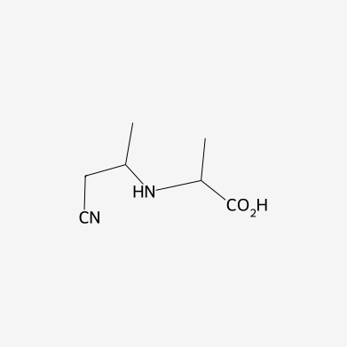 CC(CC#N)NC(C)C(=O)O